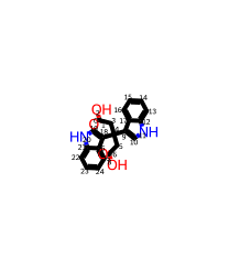 O=C(O)CC(CC(=O)O)(c1c[nH]c2ccccc12)c1c[nH]c2ccccc12